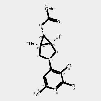 COC(=O)C[C@@H]1[C@H]2CN(c3cc(C(F)(F)F)nc(Cl)c3C#N)C[C@@H]12